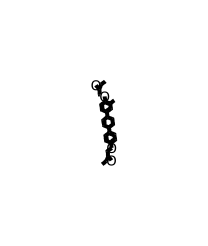 Cc1cc(C2C=CC(c3ccc(OCC4OC4C)cc3)CC2)ccc1OCC1OC1C